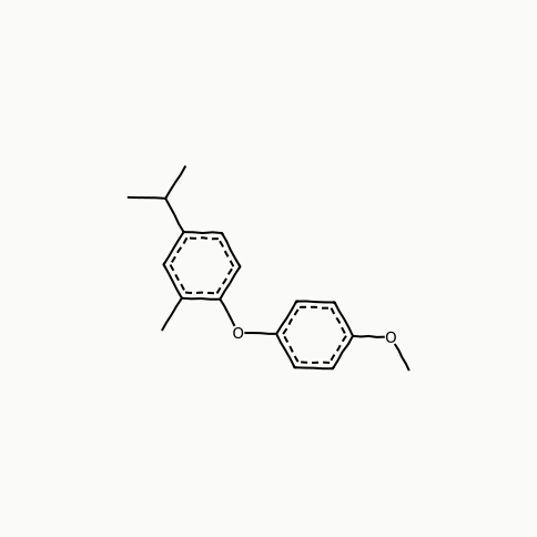 COc1ccc(Oc2ccc(C(C)C)cc2C)cc1